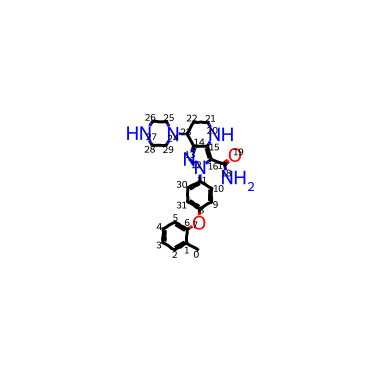 Cc1ccccc1Oc1ccc(-n2nc3c(c2C(N)=O)NCC[C@@H]3N2CCNCC2)cc1